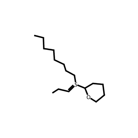 CCC=S(CCCCCCCC)C1CCCCO1